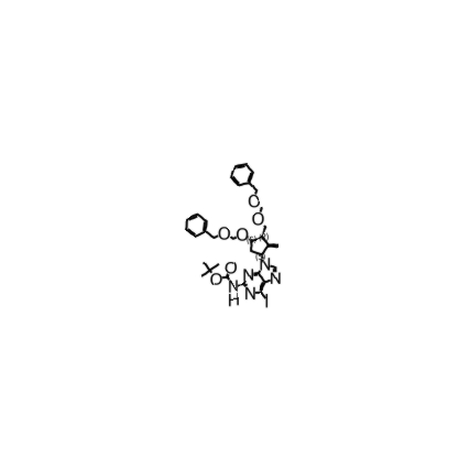 C=C1[C@H](COCOCc2ccccc2)[C@@H](OCOCc2ccccc2)C[C@@H]1n1cnc2c(I)nc(NC(=O)OC(C)(C)C)nc21